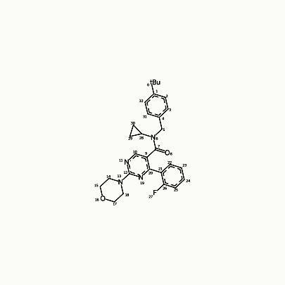 CC(C)(C)c1ccc(CN(C(=O)c2cnc(N3CCOCC3)nc2-c2ccccc2F)C2CC2)cc1